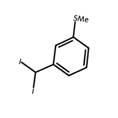 CSc1cccc(C(I)I)c1